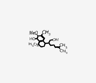 COC1C(C)=CC2=C(C1O)[C@H](C)CCC2C(CO)CCC=C(C)C